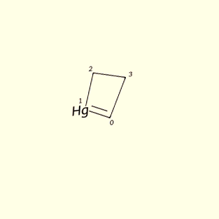 [CH]1=[Hg][CH2]C1